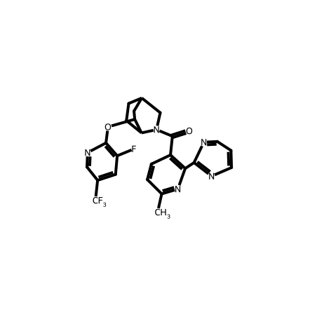 Cc1ccc(C(=O)N2CC3CCC2C(Oc2ncc(C(F)(F)F)cc2F)C3)c(-c2ncccn2)n1